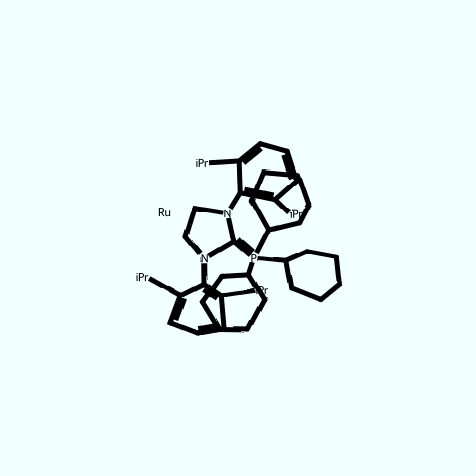 CC(C)c1cccc(C(C)C)c1N1CCN(c2c(C(C)C)cccc2C(C)C)C1=P(C1CCCCC1)(C1CCCCC1)C1CCCCC1.[Ru]